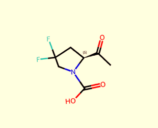 CC(=O)[C@@H]1CC(F)(F)CN1C(=O)O